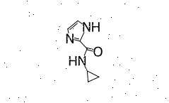 O=C(NC1CC1)c1ncc[nH]1